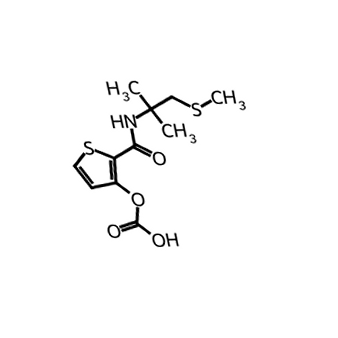 CSCC(C)(C)NC(=O)c1sccc1OC(=O)O